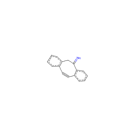 N=C1Cc2ccccc2C#Cc2ccccc21